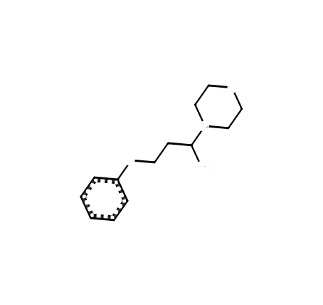 Cl.OC(CCSc1ccccc1)N1CCOCC1